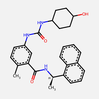 Cc1ccc(NC(=O)NC2CCC(O)CC2)cc1C(=O)N[C@H](C)c1cccc2ccccc12